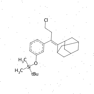 CC(C)(C)[Si](C)(C)Oc1cccc(C(CCCl)=C2C3CC4CC(C3)CC2C4)c1